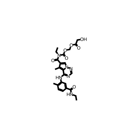 CCNC(=O)c1ccc(C)c(Nc2ncnn3cc(C(=O)N(CC)C(=O)OCOC(=O)CO)c(C)c23)c1